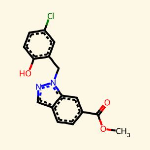 COC(=O)c1ccc2cnn(Cc3cc(Cl)ccc3O)c2c1